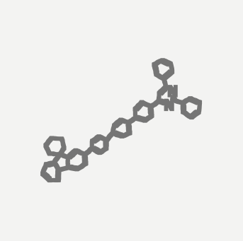 c1ccc(-c2cc(-c3ccc(-c4ccc(-c5ccc(-c6ccc7c(c6)C6(CCCCC6)c6ccccc6-7)cc5)cc4)cc3)nc(-c3ccccc3)n2)cc1